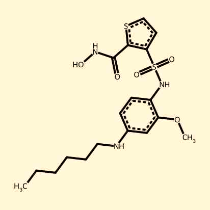 CCCCCCNc1ccc(NS(=O)(=O)c2ccsc2C(=O)NO)c(OC)c1